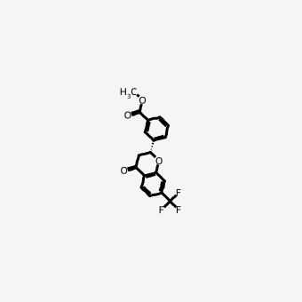 COC(=O)c1cccc([C@H]2CC(=O)c3ccc(C(F)(F)F)cc3O2)c1